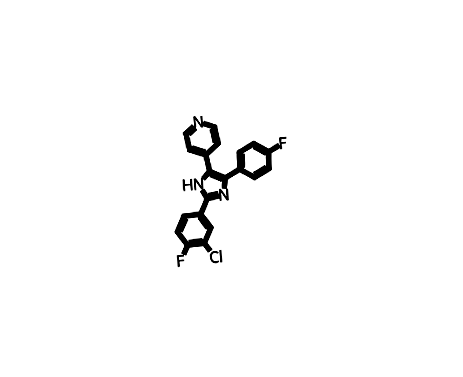 Fc1ccc(-c2nc(-c3ccc(F)c(Cl)c3)[nH]c2-c2ccncc2)cc1